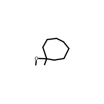 COC1(C)CCCCCCC1